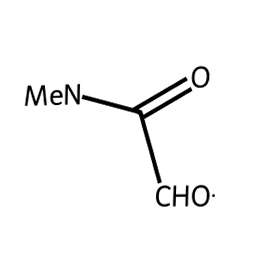 CNC(=O)[C]=O